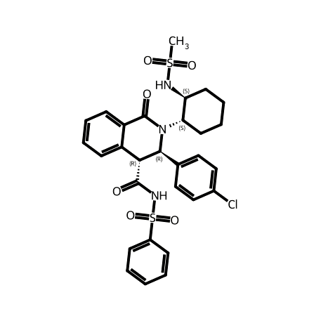 CS(=O)(=O)N[C@H]1CCCC[C@@H]1N1C(=O)c2ccccc2[C@@H](C(=O)NS(=O)(=O)c2ccccc2)[C@@H]1c1ccc(Cl)cc1